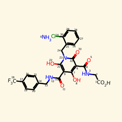 N.O=C(O)CNC(=O)c1c(O)c(C(=O)NCc2ccc(C(F)(F)F)cc2)c(O)n(Cc2ccccc2Cl)c1=O